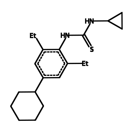 CCc1cc(C2CCCCC2)cc(CC)c1NC(=S)NC1CC1